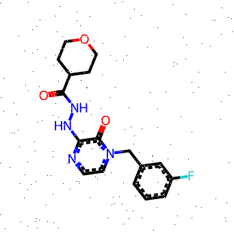 O=C(NNc1nccn(Cc2cccc(F)c2)c1=O)C1CCOCC1